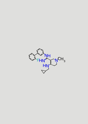 CN1CCC(NCC2CC2)=C(C(=N)Nc2cccc(-c3ccccc3F)c2)C1